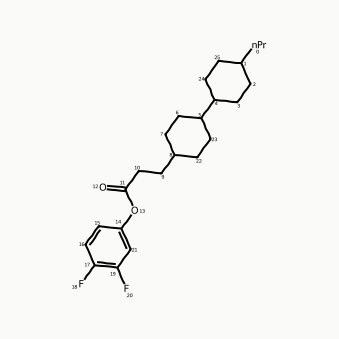 CCCC1CCC(C2CCC(CCC(=O)Oc3ccc(F)c(F)c3)CC2)CC1